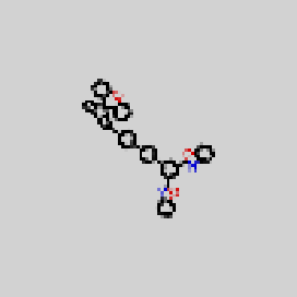 c1ccc2c(c1)Oc1ccccc1C21c2ccccc2-c2ccc(-c3ccc(-c4ccc(-c5cc(-c6nc7ccccc7o6)cc(-c6nc7ccccc7o6)c5)cc4)cc3)cc21